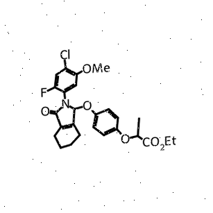 CCOC(=O)C(C)Oc1ccc(OC2C3=C(CCCC3)C(=O)N2c2cc(OC)c(Cl)cc2F)cc1